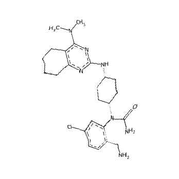 CN(C)c1nc(N[C@H]2CC[C@@H](N(C(N)=O)c3cc(Cl)ccc3CN)CC2)nc2c1CCCC2